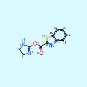 O=C(OC1=NCCN1)c1nc2ccccc2s1